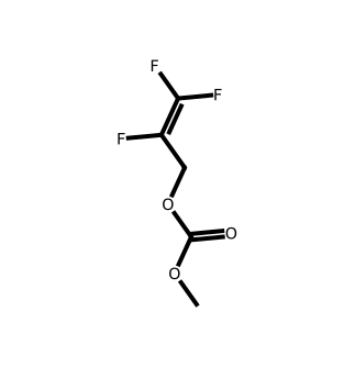 COC(=O)OCC(F)=C(F)F